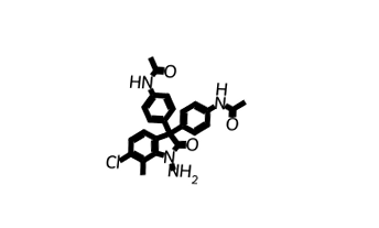 CC(=O)Nc1ccc(C2(c3ccc(NC(C)=O)cc3)C(=O)N(N)c3c2ccc(Cl)c3C)cc1